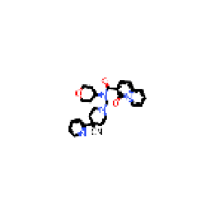 N#CC1(c2ccccn2)CCN(CN(C(=O)c2ccc3ccccn3c2=O)C2CCOCC2)CC1